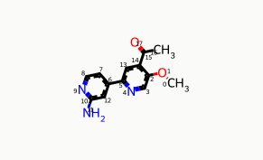 COc1cnc(-c2ccnc(N)c2)cc1C(C)=O